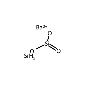 O=[Si]([O-])[O-].[Ba+2].[SrH2]